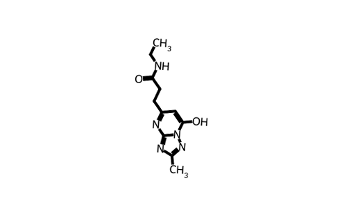 CCNC(=O)CCc1cc(O)n2nc(C)nc2n1